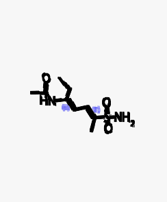 CC/C(=C\C=C(/C)S(N)(=O)=O)NC(C)=O